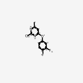 Cc1cc(Oc2ccc(F)c(F)c2)nc(Cl)n1